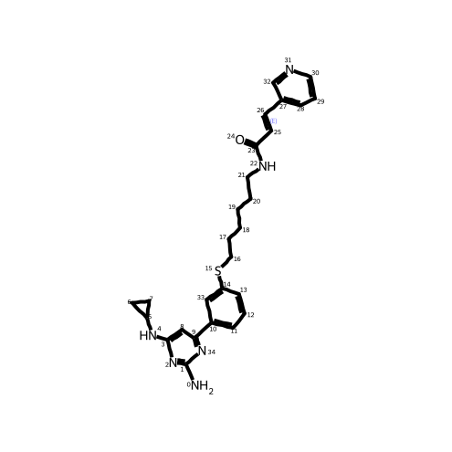 Nc1nc(NC2CC2)cc(-c2cccc(SCCCCCCNC(=O)/C=C/c3cccnc3)c2)n1